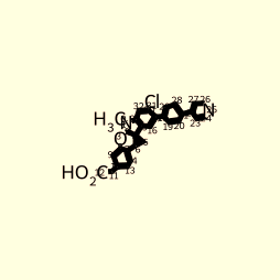 CN1C(=O)C2(CC2c2ccc(CC(=O)O)cc2)c2cc(-c3ccc(-c4ccncc4)cc3)c(Cl)cc21